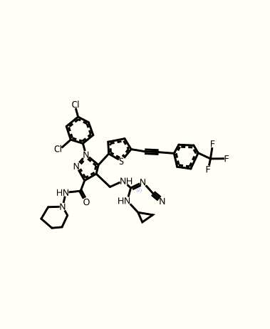 N#C/N=C(/NCc1c(C(=O)NN2CCCCC2)nn(-c2ccc(Cl)cc2Cl)c1-c1ccc(C#Cc2ccc(C(F)(F)F)cc2)s1)NC1CC1